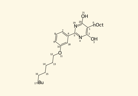 CCCCCCCCc1c(O)nc(-c2cccc(OCCCCCC(C)CC)c2)nc1O